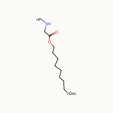 CCCCCCCCCCCCCCCCCCOC(=O)CNCCC